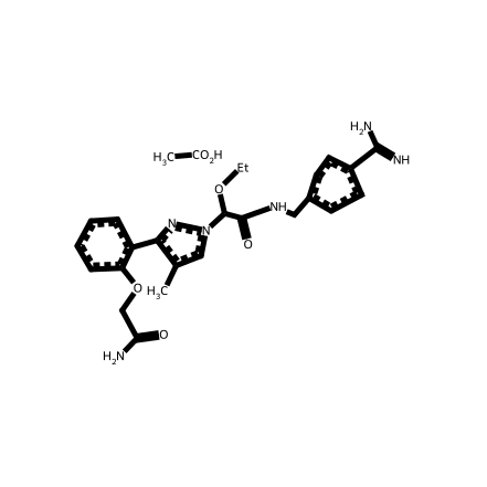 CC(=O)O.CCOC(C(=O)NCc1ccc(C(=N)N)cc1)n1cc(C)c(-c2ccccc2OCC(N)=O)n1